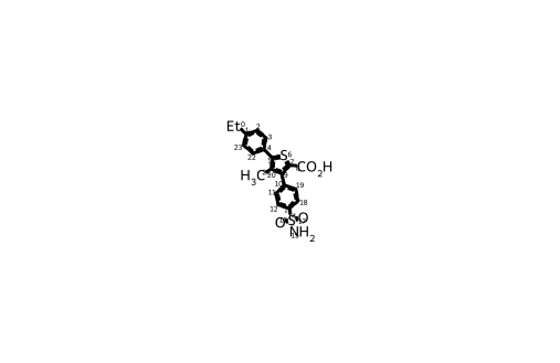 CCc1ccc(-c2sc(C(=O)O)c(-c3ccc(S(N)(=O)=O)cc3)c2C)cc1